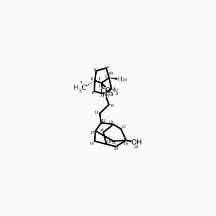 CC1(C)[C@@H]2CC[C@]1(C)CN(CCC1C3CC4CC1CC(O)(C4)C3)C2